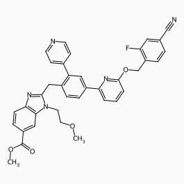 COCCn1c(Cc2ccc(-c3cccc(OCc4ccc(C#N)cc4F)n3)cc2-c2ccncc2)nc2ccc(C(=O)OC)cc21